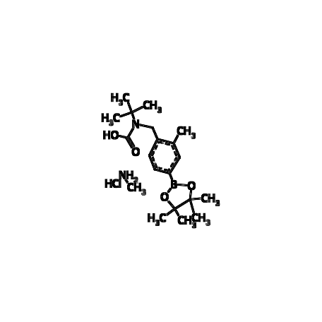 CN.Cc1cc(B2OC(C)(C)C(C)(C)O2)ccc1CN(C(=O)O)C(C)(C)C.Cl